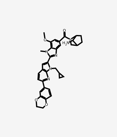 COc1cc(C(=O)N2CC3CCC2C3N)cc2nc(-c3cc4ccc(-c5ccc6c(c5)OCCO6)nc4n3CC3CC3)n(C)c12